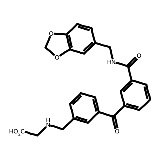 O=C(O)CNCc1cccc(C(=O)c2cccc(C(=O)NCc3ccc4c(c3)OCO4)c2)c1